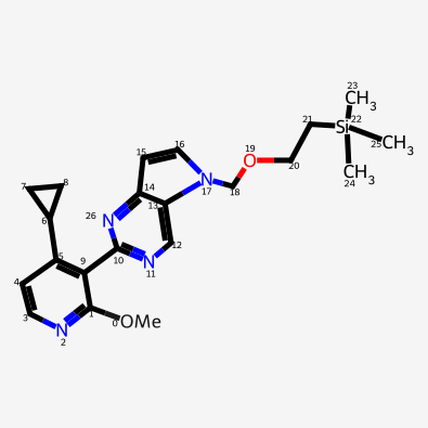 COc1nccc(C2CC2)c1-c1ncc2c(ccn2COCC[Si](C)(C)C)n1